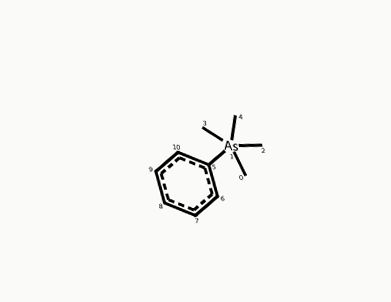 C[As](C)(C)(C)c1ccccc1